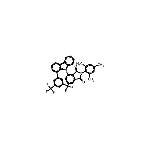 Cc1cc(C)c(N2C(=O)c3cccc(-n4c5ccccc5c5cccc(-c6cc(C(F)(F)F)cc(C(F)(F)F)c6)c54)c3C2=O)c(C)c1